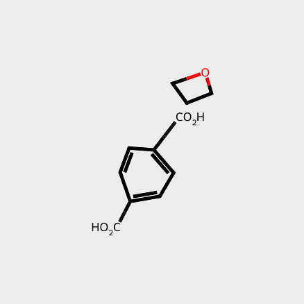 C1COC1.O=C(O)c1ccc(C(=O)O)cc1